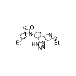 CCOc1ccc(-c2ccc(NC(=O)C3(c4ccc(CC)cc4)CC3)cc2-c2nnn[nH]2)cn1